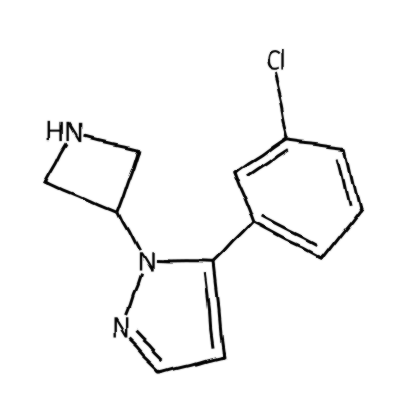 Clc1cccc(-c2ccnn2C2CNC2)c1